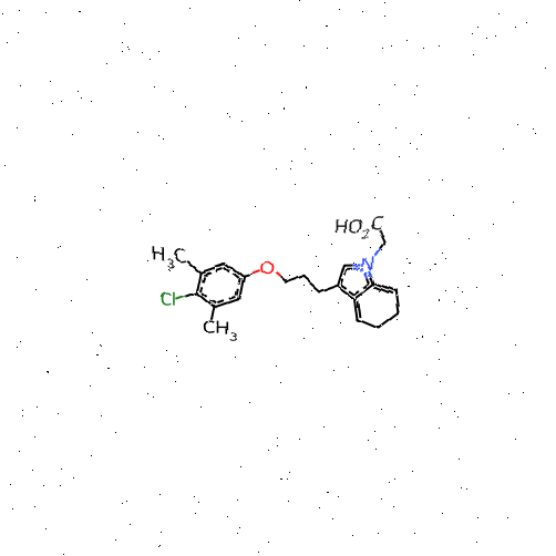 Cc1cc(OCCCc2cn(CC(=O)O)c3c2=CCCC=3)cc(C)c1Cl